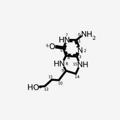 Nc1nc2c(c(=O)[nH]1)NC(CCCO)CN2